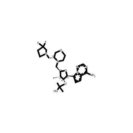 C[C@H]1[C@@H](OC(C)(C)O)[C@H](c2ccc3c(N)ncnn23)O[C@@H]1CN1CCOC[C@H]1CN1CCC(F)(F)C1